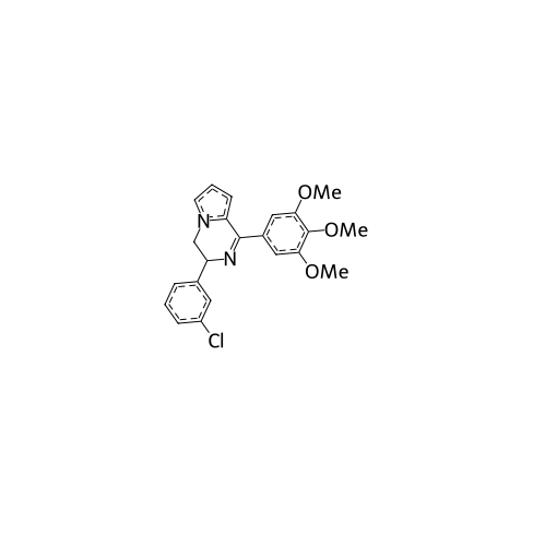 COc1cc(C2=NC(c3cccc(Cl)c3)Cn3cccc32)cc(OC)c1OC